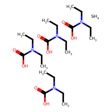 CCN(CC)C(=O)O.CCN(CC)C(=O)O.CCN(CC)C(=O)O.CCN(CC)C(=O)O.[SiH4]